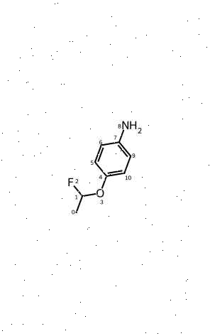 CC(F)Oc1ccc(N)cc1